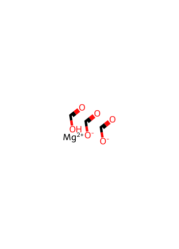 O=CO.O=C[O-].O=C[O-].[Mg+2]